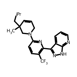 CC(C)CC1(C)C=CCN(c2ccc(C(F)(F)F)c(-c3n[nH]c4ncccc34)n2)C1